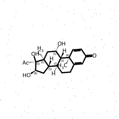 CC(=O)[C@@]1(O)[C@H](O)C[C@H]2[C@@H]3CCC4=CC(=O)C=C[C@]4(C)[C@H]3[C@@H](O)C[C@@]21C